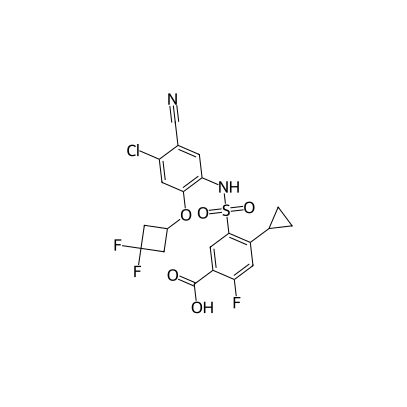 N#Cc1cc(NS(=O)(=O)c2cc(C(=O)O)c(F)cc2C2CC2)c(OC2CC(F)(F)C2)cc1Cl